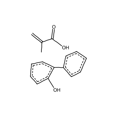 C=C(C)C(=O)O.Oc1ccccc1-c1ccccc1